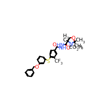 CC1(C)OCC(C)(C(=O)NNC(=O)c2ccc(Sc3cccc(OCc4ccccc4)c3)c(C(F)(F)F)c2)N1C(=O)O